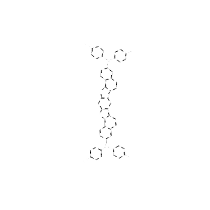 Cc1ccc(N(c2ccc(C)cc2)c2ccc3c(ccc4c5cc6c(cc5oc34)oc3c4ccc(N(c5ccc(C)cc5)c5ccc(C)cc5)cc4ccc63)c2)cc1